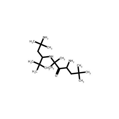 CC(C)(C)CC(N)C(=O)C(C)(C)NC(CC(C)(C)N)C(C)(C)C